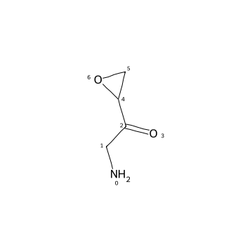 NCC(=O)C1CO1